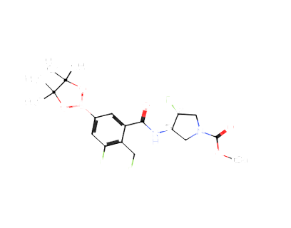 CC(C)(C)OC(=O)N1C[C@H](F)[C@H](NC(=O)c2cc(B3OC(C)(C)C(C)(C)O3)cc(F)c2CF)C1